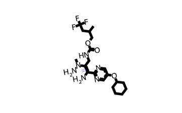 CC(COC(=O)NC/C(=C(/N)c1ncc(OC2CCCCC2)cn1)N(C)N)CC(F)(F)F